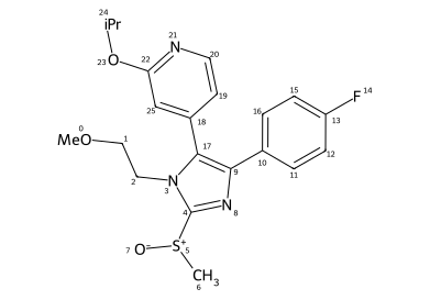 COCCn1c([S+](C)[O-])nc(-c2ccc(F)cc2)c1-c1ccnc(OC(C)C)c1